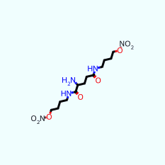 NC(CCC(=O)NCCCCO[N+](=O)[O-])C(=O)NCCCCO[N+](=O)[O-]